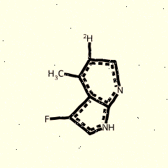 [2H]c1cnc2[nH]cc(F)c2c1C